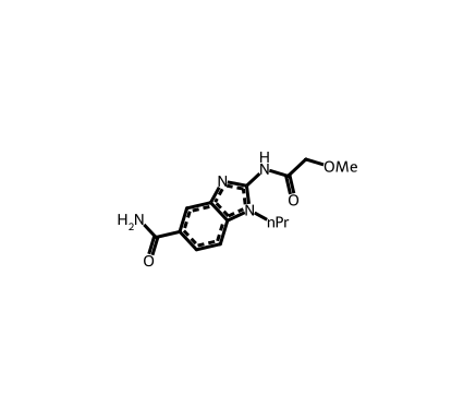 CCCn1c(NC(=O)COC)nc2cc(C(N)=O)ccc21